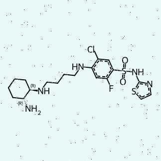 N[C@@H]1CCCC[C@H]1NCCCCNc1cc(F)c(S(=O)(=O)Nc2nccs2)cc1Cl